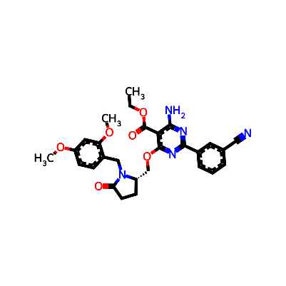 CCOC(=O)c1c(N)nc(-c2cccc(C#N)c2)nc1OC[C@@H]1CCC(=O)N1Cc1ccc(OC)cc1OC